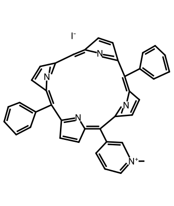 C[n+]1cccc(C2=C3C=CC(=N3)C(c3ccccc3)=C3C=CC(=N3)C=C3C=CC(=N3)C(c3ccccc3)=C3C=CC2=N3)c1.[I-]